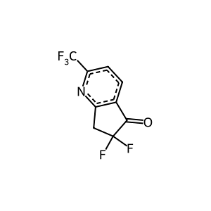 O=C1c2ccc(C(F)(F)F)nc2CC1(F)F